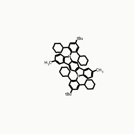 Cc1ccc2c(c1)c1cc3c(cc1n2-c1c(C2CCCCC2)cc(C(C)(C)C)cc1C1CCCCC1)c1cc(C)ccc1n3-c1c(C2CCCCC2)cc(C(C)(C)C)cc1C1CCCCC1